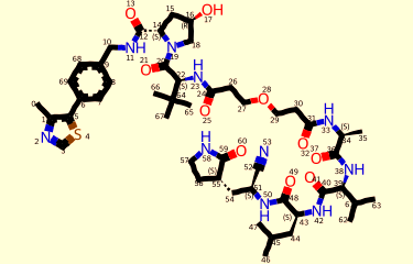 Cc1ncsc1-c1ccc(CNC(=O)[C@@H]2C[C@@H](O)CN2C(=O)[C@@H](NC(=O)CCOCCC(=O)N[C@@H](C)C(=O)N[C@H](C(=O)N[C@@H](CC(C)C)C(=O)N[C@H](C#N)C[C@@H]2CCNC2=O)C(C)C)C(C)(C)C)cc1